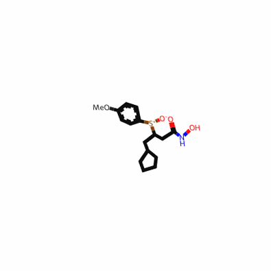 COc1ccc([S+]([O-])C(CC(=O)NO)CC2CCCC2)cc1